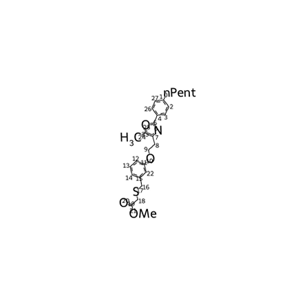 CCCCCc1ccc(-c2nc(CCOc3cccc(CSCC(=O)OC)c3)c(C)o2)cc1